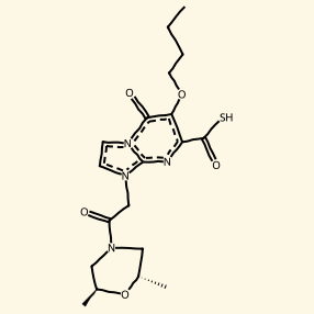 CCCCOc1c(C(=O)S)nc2n(CC(=O)N3C[C@H](C)O[C@@H](C)C3)ccn2c1=O